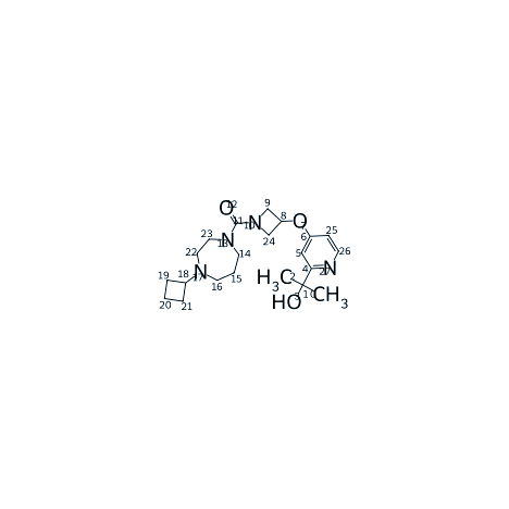 CC(C)(O)c1cc(OC2CN(C(=O)N3CCCN(C4CCC4)CC3)C2)ccn1